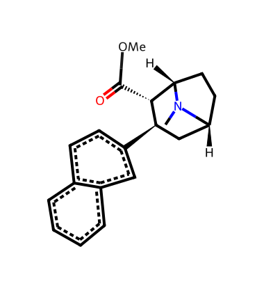 COC(=O)[C@H]1[C@H](c2ccc3ccccc3c2)C[C@H]2CC[C@@H]1N2C